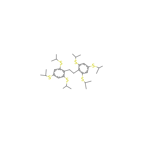 CC(C)Sc1cc(SC(C)C)c(CCc2c(SC(C)C)cc(SC(C)C)cc2SC(C)C)c(SC(C)C)c1